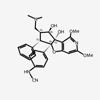 COc1cc2c(c(OC)n1)[C@]1(O)[C@H](O)[C@H](CN(C)C)[C@@H](c3ccccc3)[C@]1(c1ccc(NC#N)cc1)O2